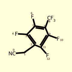 N#C[CH]c1c(F)c(F)c(C(F)(F)F)c(F)c1F